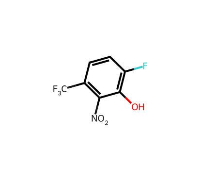 O=[N+]([O-])c1c(C(F)(F)F)ccc(F)c1O